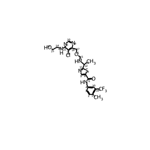 Cc1ccc(NC(=O)c2cnc(C(C)NCOCc3ncnc(NCCO)c3Cl)s2)cc1C(F)(F)F